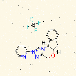 F[B-](F)(F)F.c1ccc(-[n+]2cn3c(n2)CO[C@@H]2Cc4ccccc4[C@@H]23)nc1